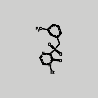 CCn1ccnc(S(=O)(=O)Cc2cccc(C(F)(F)F)c2)c1=O